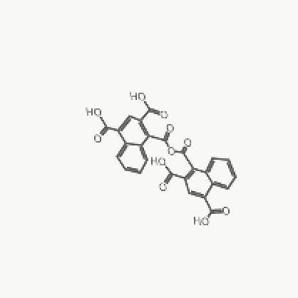 O=C(O)c1cc(C(=O)O)c2ccccc2c1C(=O)OC(=O)c1c(C(=O)O)cc(C(=O)O)c2ccccc12